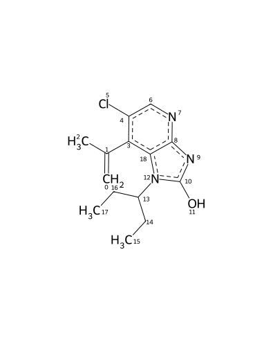 C=C(C)c1c(Cl)cnc2nc(O)n(C(CC)CC)c12